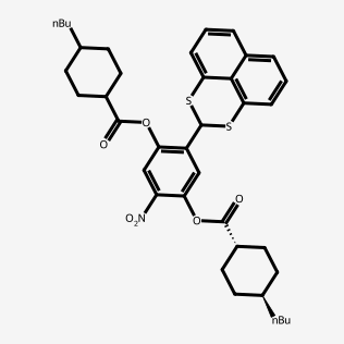 CCCCC1CCC(C(=O)Oc2cc([N+](=O)[O-])c(OC(=O)[C@H]3CC[C@H](CCCC)CC3)cc2C2Sc3cccc4cccc(c34)S2)CC1